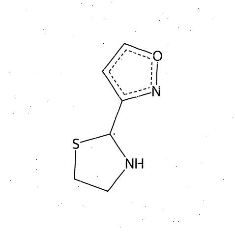 c1cc([C]2NCCS2)no1